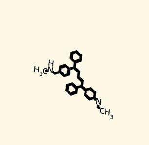 CCN=C1C=CC(=C(C=CC=C(c2ccccc2)c2ccc(CNC)cc2)c2ccccc2)C=C1